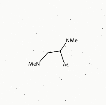 CNCC(NC)C(C)=O